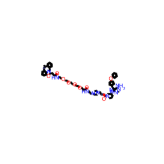 C/C1=C/c2ccccc2N(C(=O)CCC(=O)NCCOCCOCCOCCOCCC(=O)NCCN2CCN(C/C=C/C(=O)N3CCC[C@@H](n4nc(-c5ccc(Oc6ccccc6)cc5)c5c(N)ncnc54)C3)CC2)Cc2ccccc21